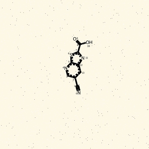 N#Cc1cnc2sc(C(=O)O)nc2c1